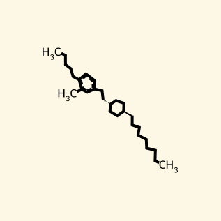 CCCCCCCCC[C@H]1CC[C@H](CCc2ccc(CCCCC)c(C)c2)CC1